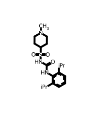 CC(C)c1cccc(C(C)C)c1NC(=O)NS(=O)(=O)C1CCN(C)CC1